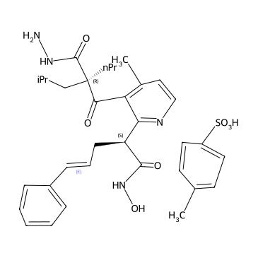 CCC[C@](CC(C)C)(C(=O)NN)C(=O)c1c(C)ccnc1[C@H](C/C=C/c1ccccc1)C(=O)NO.Cc1ccc(S(=O)(=O)O)cc1